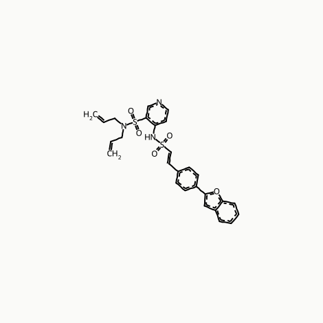 C=CCN(CC=C)S(=O)(=O)c1cnccc1NS(=O)(=O)/C=C/c1ccc(-c2cc3ccccc3o2)cc1